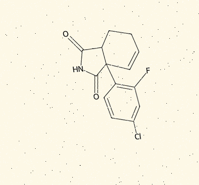 O=C1NC(=O)C2(c3ccc(Cl)cc3F)C=CCCC12